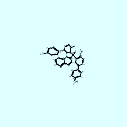 Cc1ccc(-c2ccc(S)cc2)cc1C(C)(c1ccc2ccccc2c1)c1cc(-c2ccc(S)cc2)ccc1S